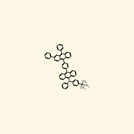 CC(C)(C)c1ccc(N(c2ccccc2)c2c3ccccc3c(-c3ccc(-c4c5ccccc5c(-c5ccccc5)c5cc(-c6ccccc6)ccc45)cc3)c3ccccc23)cc1